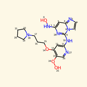 ONc1cc2nccn2c(Nc2cc(OCCCN3CCCC3)c(OO)cn2)n1